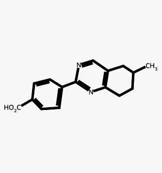 CC1CCc2nc(-c3ccc(C(=O)O)cc3)ncc2C1